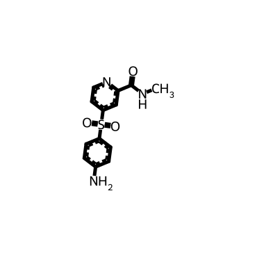 CNC(=O)c1cc(S(=O)(=O)c2ccc(N)cc2)ccn1